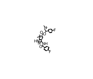 CN(C)CC(OC(=O)N1Cc2c(NC(=O)c3ccc(F)cc3)n[nH]c2C1(C)C)c1ccc(F)cc1